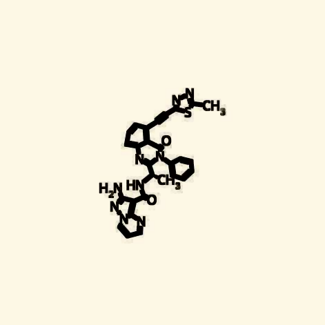 Cc1nnc(C#Cc2cccc3nc([C@@H](C)NC(=O)c4c(N)nn5cccnc45)n(-c4ccccc4)c(=O)c23)s1